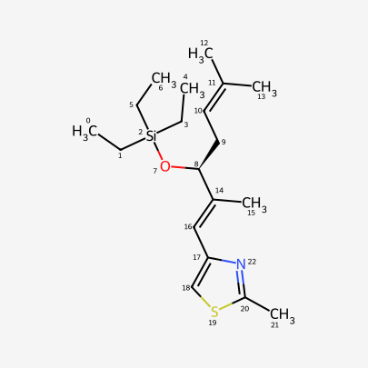 CC[Si](CC)(CC)O[C@@H](CC=C(C)C)/C(C)=C/c1csc(C)n1